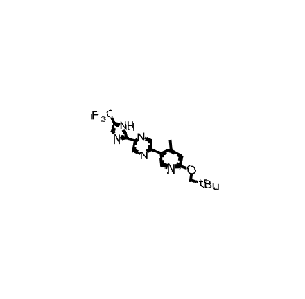 Cc1cc(OCC(C)(C)C)ncc1-c1cnc(-c2ncc(C(F)(F)F)[nH]2)cn1